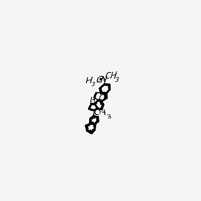 CN(C)[C@@H]1CCC2=CC3=CC[C@]4(C)[C@@H](c5ccc6ccccc6c5)CC[C@H]4[C@@]34CC[C@]2(C1)O4